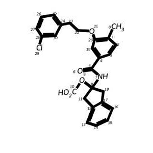 Cc1ccc(C(=O)NC2(OC(=O)O)Cc3ccccc3C2)cc1OCCc1cccc(Cl)c1